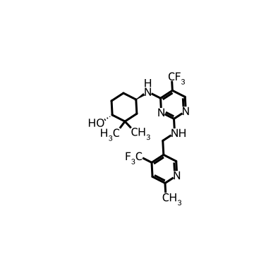 Cc1cc(C(F)(F)F)c(CNc2ncc(C(F)(F)F)c(N[C@@H]3CC[C@@H](O)C(C)(C)C3)n2)cn1